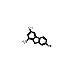 Nc1cc(O)cc2c1Cc1cc(O)ccc1-2